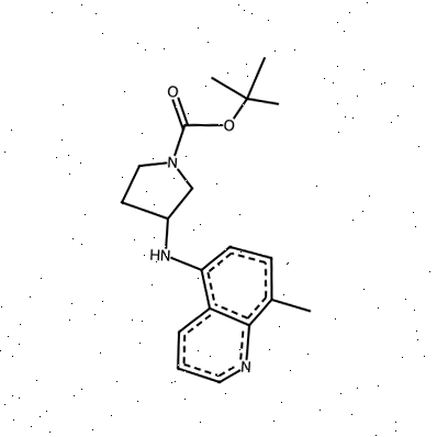 Cc1ccc(NC2CCN(C(=O)OC(C)(C)C)C2)c2cccnc12